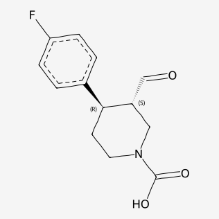 O=C[C@@H]1CN(C(=O)O)CC[C@H]1c1ccc(F)cc1